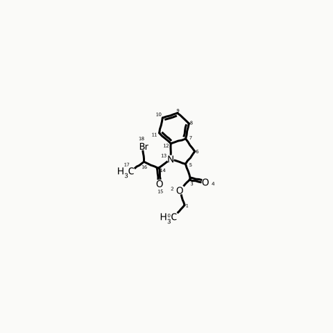 CCOC(=O)C1Cc2ccccc2N1C(=O)C(C)Br